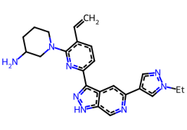 C=Cc1ccc(-c2n[nH]c3cnc(-c4cnn(CC)c4)cc23)nc1N1CCCC(N)C1